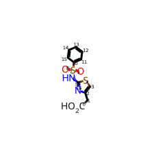 O=C(O)Cc1csc(NS(=O)(=O)c2ccccc2)n1